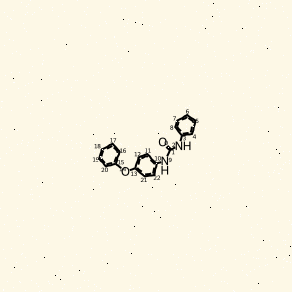 O=C(Nc1ccccc1)Nc1ccc(Oc2ccccc2)cc1